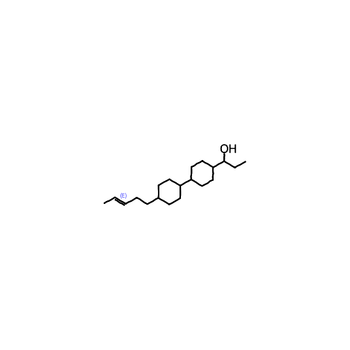 C/C=C/CCC1CCC(C2CCC(C(O)CC)CC2)CC1